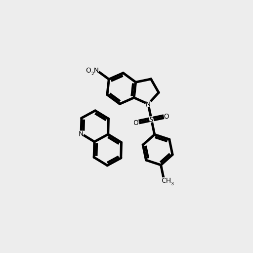 Cc1ccc(S(=O)(=O)N2CCc3cc([N+](=O)[O-])ccc32)cc1.c1ccc2ncccc2c1